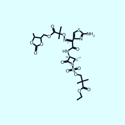 CCOC(=O)C(C)(C)COS(=O)(=O)N1C(=O)[C@@H](NC(=O)/C(=N/OC(C)(C)C(=O)OCC2OC(=O)OC2C)c2csc(N)n2)[C@@H]1C